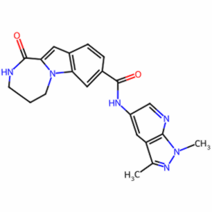 Cc1nn(C)c2ncc(NC(=O)c3ccc4cc5n(c4c3)CCCNC5=O)cc12